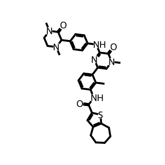 Cc1c(NC(=O)c2cc3c(s2)CCCCC3)cccc1-c1cn(C)c(=O)c(Nc2ccc(C3C(=O)N(C)CCN3C)cc2)n1